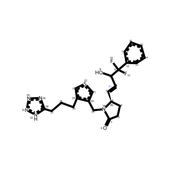 O=C1CC[C@H](/C=C/C(O)C(F)(F)c2ccccc2)N1Cc1cscc1CCCc1nnn[nH]1